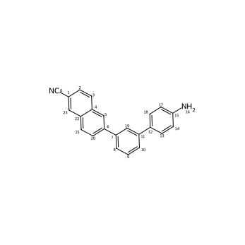 N#Cc1ccc2cc(-c3cccc(-c4ccc(N)cc4)c3)ccc2c1